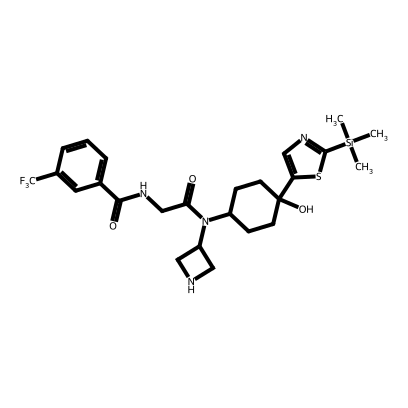 C[Si](C)(C)c1ncc(C2(O)CCC(N(C(=O)CNC(=O)c3cccc(C(F)(F)F)c3)C3CNC3)CC2)s1